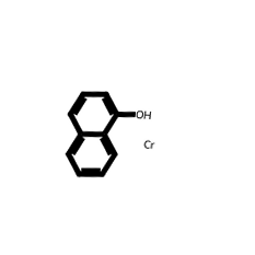 Oc1cccc2ccccc12.[Cr]